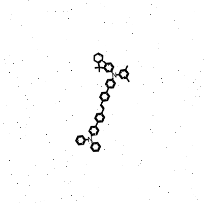 Cc1cc(C)cc(N(c2ccc(-c3ccc(/C=C/c4ccc(-c5ccc(N(c6ccccc6)c6ccccc6)cc5)cc4)cc3)cc2)c2ccc3c(c2)C(C)(C)C2=C3C=CCC2)c1